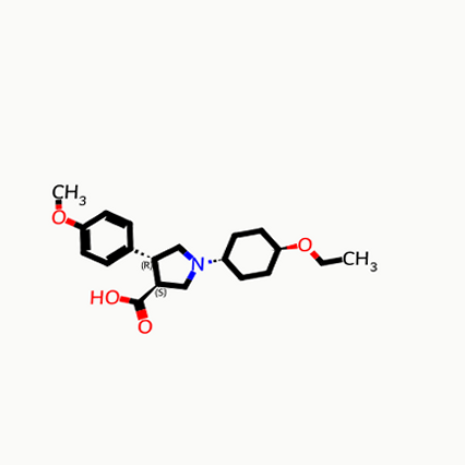 CCO[C@H]1CC[C@H](N2C[C@@H](C(=O)O)[C@H](c3ccc(OC)cc3)C2)CC1